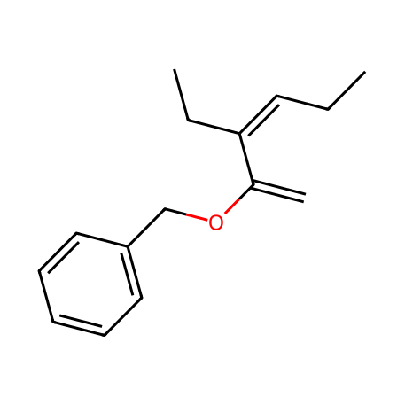 C=C(OCc1ccccc1)/C(=C\CC)CC